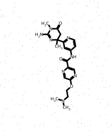 CN(C)CCOc1cnc(C(=O)Nc2ccnc(C3(C)CC(=O)N(C)C(N)=N3)c2)cn1